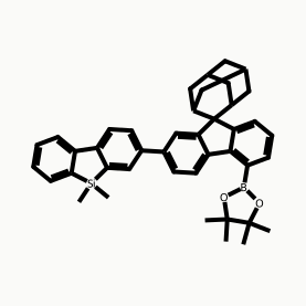 CC1(C)OB(c2cccc3c2-c2ccc(-c4ccc5c(c4)[Si](C)(C)c4ccccc4-5)cc2C32C3CC4CC(C3)CC2C4)OC1(C)C